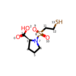 O=C(O)[C@@H]1CCCN1S(=O)(=O)CCS